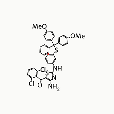 COc1ccc(C(Sc2cccc(Nc3nc(N)c(C(=O)c4c(Cl)cccc4Cl)s3)c2)(c2ccccc2)c2ccc(OC)cc2)cc1